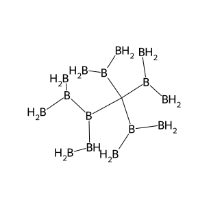 BBB(B(B)B)C(B(B)B)(B(B)B)B(B)B